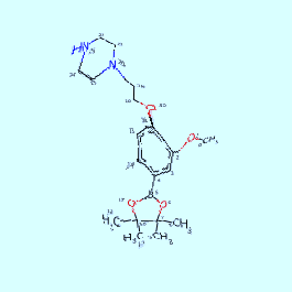 COc1cc(B2OC(C)(C)C(C)(C)O2)ccc1OCCN1CCNCC1